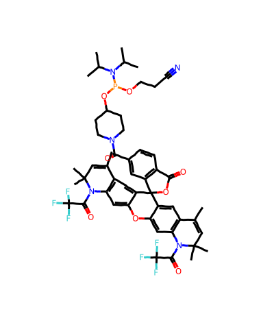 CC1=CC(C)(C)N(C(=O)C(F)(F)F)c2cc3c(cc21)C1(OC(=O)c2ccc(C(=O)N4CCC(OP(OCCC#N)N(C(C)C)C(C)C)CC4)cc21)c1cc2c(cc1O3)N(C(=O)C(F)(F)F)C(C)(C)C=C2C